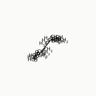 C=C1OC(C(O)COC2CC(C)(C)C(/C=C/C(C)=C/C=C/C(C)=C/C=C/C=C(C)/C=C/C=C(C)/C=C/C3=C(C)C(=O)C(OC(=O)C(O)C4OC(=O)C(O)=C4O)CC3(C)C)=C(C)C2=O)C(O)=C1O